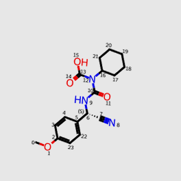 COc1ccc([C@@H](C#N)NC(=O)N(C(=O)O)C2CCCCC2)cc1